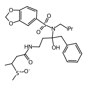 CC(C)CN(C(O)(CCNC(=O)CC(C)[S+](C)[O-])Cc1ccccc1)S(=O)(=O)c1ccc2c(c1)OCO2